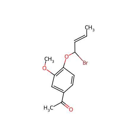 CC=CC(Br)Oc1ccc(C(C)=O)cc1OC